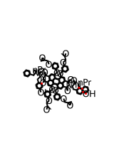 CCCN(Cc1ccccc1)C(=O)C(Cc1ccc(O)cc1)N1C(=O)c2cc(Oc3cccc(OCC4CO4)c3)c3c4c(Oc5cccc(OCC6CO6)c5)cc5c6c(cc(Oc7cccc(OCC8CO8)c7)c(c7c(Oc8cccc(OCC9CO9)c8)cc(c2c37)C1=O)c64)C(=O)N(C(Cc1ccc(O)cc1)C(=O)N(CCC)Cc1ccccc1)C5=O